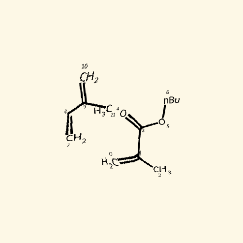 C=C(C)C(=O)OCCCC.C=CC(=C)C